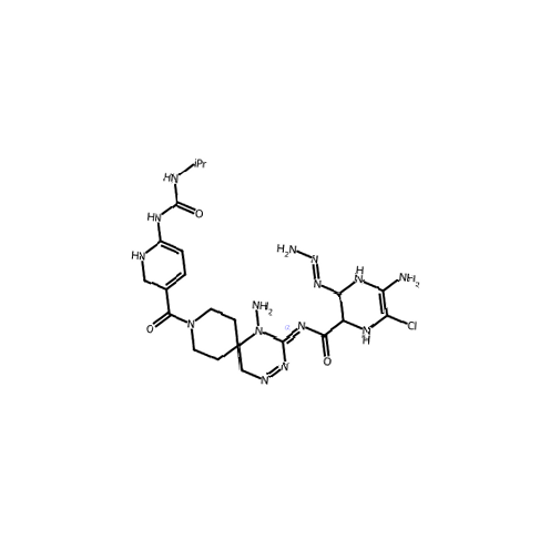 CC(C)NC(=O)NC1=CC=C(C(=O)N2CCC3(CC2)CN=N/C(=N\C(=O)C2NC(Cl)=C(N)NC2N=NN)N3N)CN1